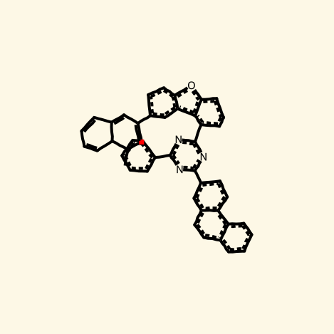 CC1C=C(c2ccc3oc4cccc(-c5nc(-c6ccccc6)nc(-c6ccc7c(ccc8ccccc87)c6)n5)c4c3c2)C=C2C=CC=CC21